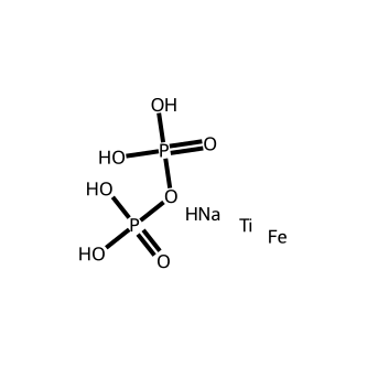 O=P(O)(O)OP(=O)(O)O.[Fe].[NaH].[Ti]